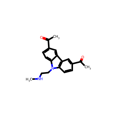 CNCCn1c2ccc(C(C)=O)cc2c2cc(C(C)=O)ccc21